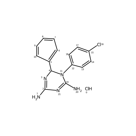 Cl.NC1=NC(c2ccccc2)N(c2ccc(Cl)cc2)C(N)=N1